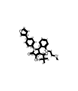 COCCOc1ccccc1C1C(C(=O)C(C)(C)C)=C(O)C(=O)N1c1ccc(-c2ccoc2)cc1